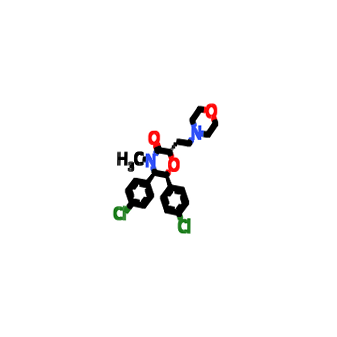 CN1C(=O)[C@H](CCN2CCOCC2)O[C@@H](c2ccc(Cl)cc2)[C@H]1c1ccc(Cl)cc1